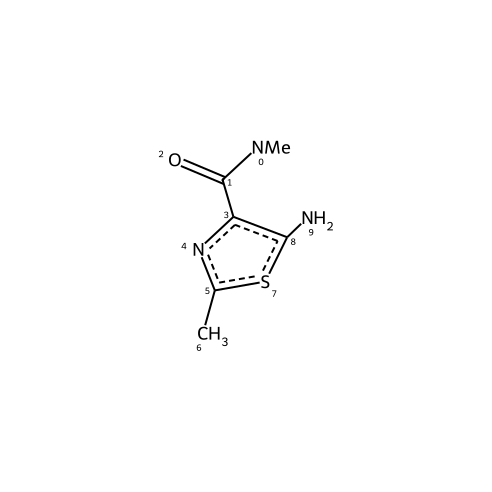 CNC(=O)c1nc(C)sc1N